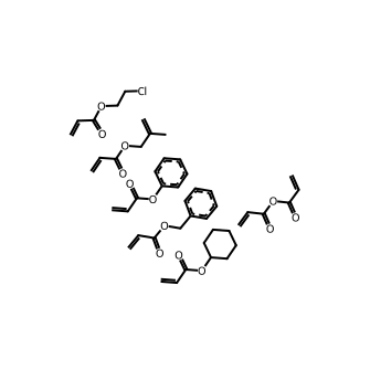 C=CC(=O)OC(=O)C=C.C=CC(=O)OC1CCCCC1.C=CC(=O)OCC(=C)C.C=CC(=O)OCCCl.C=CC(=O)OCc1ccccc1.C=CC(=O)Oc1ccccc1